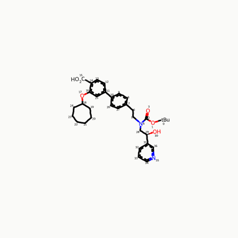 CC(C)(C)OC(=O)N(CCc1ccc(-c2ccc(C(=O)O)c(OC3CCCCCC3)c2)cc1)C[C@@H](O)c1cccnc1